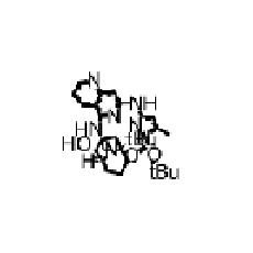 Cc1cc(Nc2cc3ncccc3c(N[C@H]3C[C@@H]4CCC[C@](C(C)(C)C)(C3)N4C(=O)O)n2)nn1C(=O)OC(C)(C)C